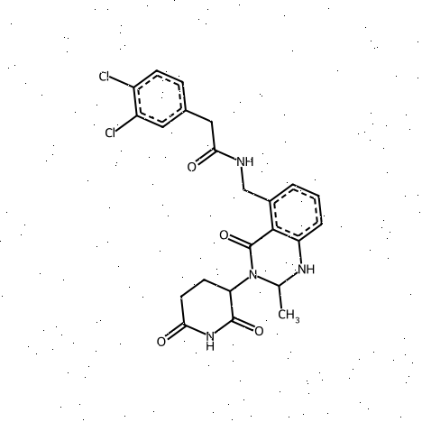 CC1Nc2cccc(CNC(=O)Cc3ccc(Cl)c(Cl)c3)c2C(=O)N1C1CCC(=O)NC1=O